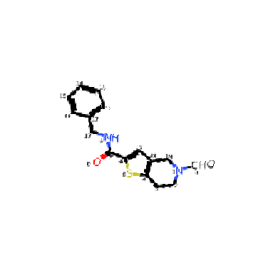 O=CN1CCc2sc(C(=O)NCc3ccccc3)cc2C1